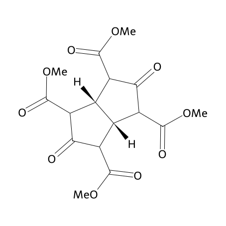 COC(=O)C1C(=O)C(C(=O)OC)[C@H]2C(C(=O)OC)C(=O)C(C(=O)OC)[C@@H]12